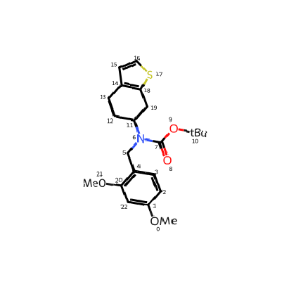 COc1ccc(CN(C(=O)OC(C)(C)C)C2CCc3ccsc3C2)c(OC)c1